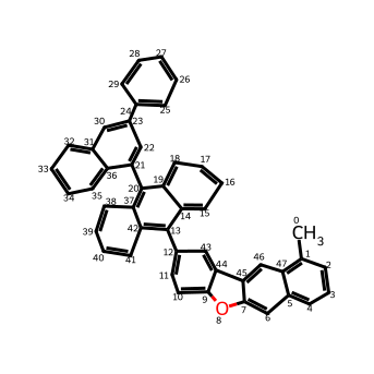 Cc1cccc2cc3oc4ccc(-c5c6ccccc6c(-c6cc(-c7ccccc7)cc7ccccc67)c6ccccc56)cc4c3cc12